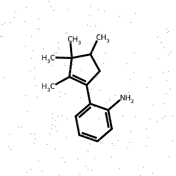 CC1=C(c2ccccc2N)CC(C)C1(C)C